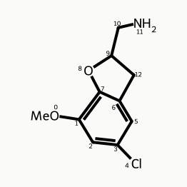 COc1cc(Cl)cc2c1OC(CN)C2